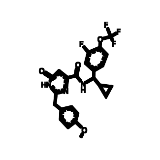 COc1ccc(Cc2nc(C(=O)NC(c3ccc(OC(F)(F)F)c(F)c3)C3CC3)cc(=O)[nH]2)cc1